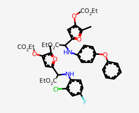 CCOC(=O)Oc1cc(C(Nc2ccc(F)cc2Cl)C(=O)OCC)oc1C.CCOC(=O)Oc1cc(C(Nc2ccc(Oc3ccccc3)cc2)C(=O)OCC)oc1C